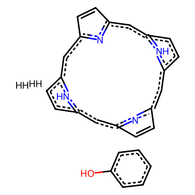 C1=Cc2cc3ccc(cc4nc(cc5ccc(cc1n2)[nH]5)C=C4)[nH]3.Oc1ccccc1.[HH].[HH]